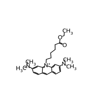 CCOC(=O)CCCCC[n+]1c2cc(N(C)C)ccc2cc2ccc(N(C)C)cc21